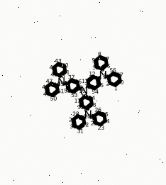 C1=CCC(N(c2ccccc2)c2ccc(N(c3ccc(N(C4=CCCC=C4)c4ccccc4)cc3)c3ccc(N(c4ccccc4)c4ccccc4)cc3)cc2)C=C1